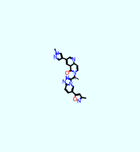 Cc1cc(-c2ccc3nnc([C@H](C)N4C=CC5N=CC(c6cnn(C)c6)=CC5C4=O)n3c2)on1